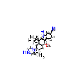 C[C@H]1CNCCN1C1C=CC2=C(C1)C(C)(C)c1[nH]c3cc(C#N)ccc3c1C2=O